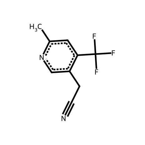 Cc1cc(C(F)(F)F)c(CC#N)cn1